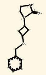 O=C1NCCN1C1CC(OCc2ccccc2)C1